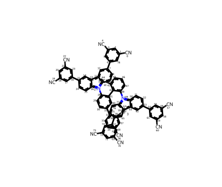 N#Cc1cc(C#N)cc(-c2ccc3c(c2)c2cc(-c4cc(C#N)cc(C#N)c4)ccc2n3-c2ccc(-c3ccc(C#N)cc3C(F)(F)F)cc2-c2c(C#N)cccc2-n2c3ccc(-c4cc(C#N)cc(C#N)c4)cc3c3cc(-c4cc(C#N)cc(C#N)c4)ccc32)c1